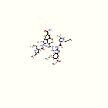 CCn1nc(C)cc1C(=O)Nc1nc2cc(C(N)=O)cc(OC)c2n1CCC[C@@H]1COc2cc(C(N)=O)cc3c2C1[C@@](N)(NC(=O)c1cc(C)nn1CC)C3N